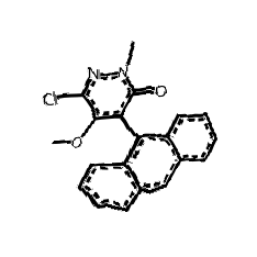 COc1c(Cl)nn(C)c(=O)c1-c1c2ccccc2cc2ccccc12